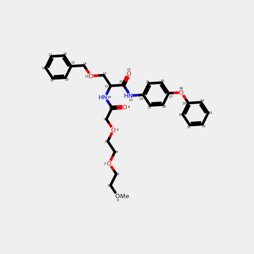 COCCOCCOCC(=O)NC(COCc1ccccc1)C(=O)Nc1ccc(Oc2ccccc2)cc1